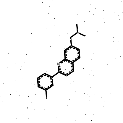 Cc1cccc(-c2ccc3ccc(CC(C)C)cc3n2)c1